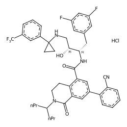 CCCC(CCC)N1CCc2c(C(=O)N[C@@H](Cc3cc(F)cc(F)c3)[C@H](O)CNC3(c4cccc(C(F)(F)F)c4)CC3)cc(-c3ccccc3C#N)cc2C1=O.Cl